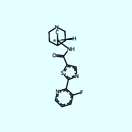 O=C(N[C@H]1CN2CCC1CC2)c1cnc(-c2ncccc2F)s1